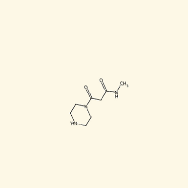 CNC(=O)CC(=O)N1CCNCC1